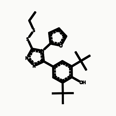 CCSSc1nnc(-c2cc(C(C)(C)C)c(O)c(C(C)(C)C)c2)n1-c1ccco1